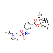 CN(C)CCS(=O)(=O)Nc1cccc(B2OC(C)(C)C(C)(C)O2)c1